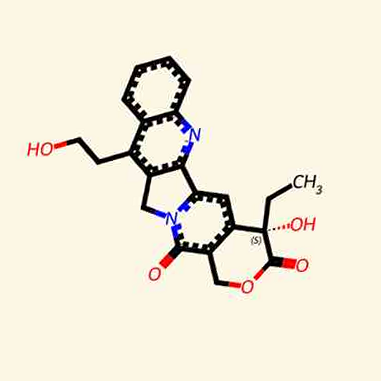 CC[C@@]1(O)C(=O)OCc2c1cc1n(c2=O)Cc2c-1nc1ccccc1c2CCO